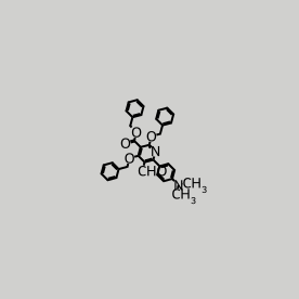 CN(C)c1ccc(-c2nc(OCc3ccccc3)c(C(=O)OCc3ccccc3)c(OCc3ccccc3)c2C=O)cc1